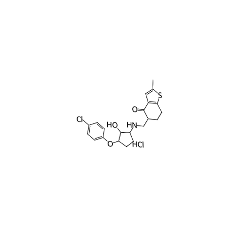 Cc1cc2c(s1)CCC(CNC1CCC(Oc3ccc(Cl)cc3)C1O)C2=O.Cl